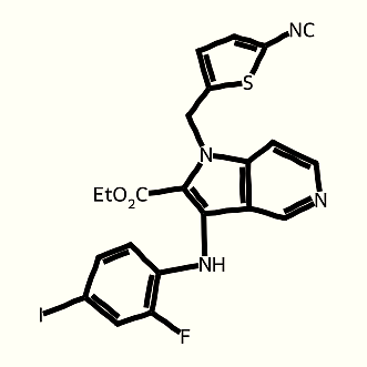 [C-]#[N+]c1ccc(Cn2c(C(=O)OCC)c(Nc3ccc(I)cc3F)c3cnccc32)s1